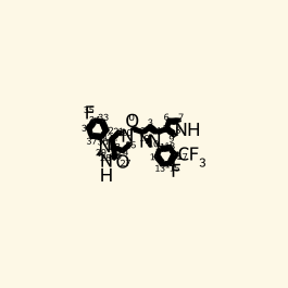 O=C(c1cc(-c2cc[nH]c2)n(-c2ccc(F)c(C(F)(F)F)c2)n1)N1CCC2(CC1)C(=O)NCN2c1ccc(F)cc1